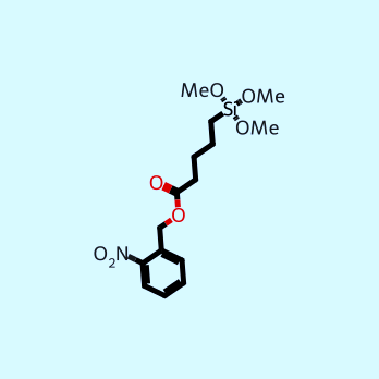 CO[Si](CCCCC(=O)OCc1ccccc1[N+](=O)[O-])(OC)OC